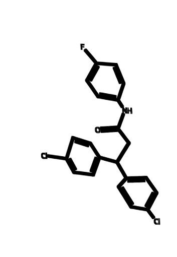 O=C(CC(c1ccc(Cl)cc1)c1ccc(Cl)cc1)Nc1ccc(F)cc1